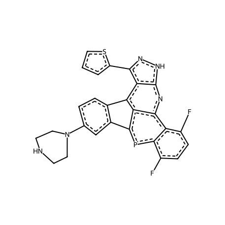 Fc1ccc(F)c2c1pc1c3c(c4c(-c5cccs5)n[nH]c4nc32)-c2ccc(N3CCNCC3)cc2-1